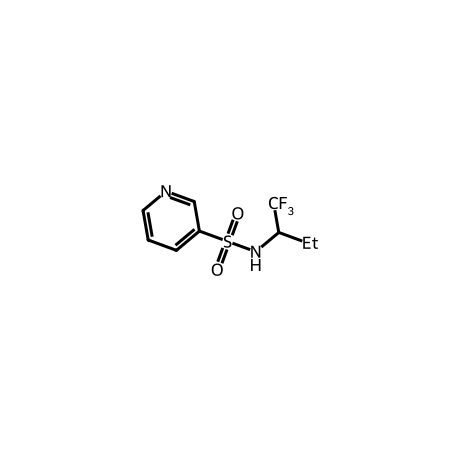 CCC(NS(=O)(=O)c1cccnc1)C(F)(F)F